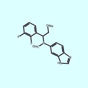 COCC(c1cccc(F)c1F)N(C=O)c1ccc2nc[nH]c2c1